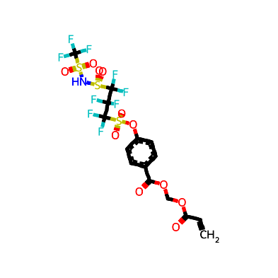 C=CC(=O)OCOC(=O)c1ccc(OS(=O)(=O)C(F)(F)C(F)(F)C(F)(F)S(=O)(=O)NS(=O)(=O)C(F)(F)F)cc1